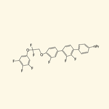 CCCc1ccc(-c2ccc(-c3ccc(OCC(F)(F)Oc4cc(F)c(F)c(F)c4)c(F)c3)c(F)c2F)cc1